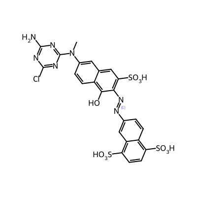 CN(c1ccc2c(O)c(/N=N/c3ccc4c(S(=O)(=O)O)ccc(S(=O)(=O)O)c4c3)c(S(=O)(=O)O)cc2c1)c1nc(N)nc(Cl)n1